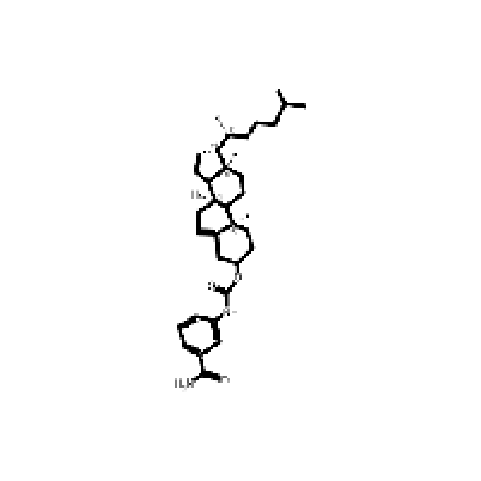 CC(C)CCC[C@@H](C)[C@H]1CCC2[C@@H]3CC=C4CC(OC(=O)Nc5cccc(C(N)=O)c5)CC[C@]4(C)C3CC[C@@]21C